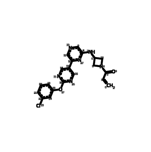 C=CC(=O)N1CC(Nc2cncc(-c3cnc(Oc4cccc(Cl)c4)nc3)n2)C1